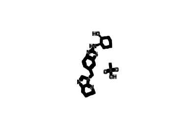 CS(=O)(=O)O.O[C@@H]1CCCC[C@H]1Nc1nc2ccc(Cn3cnc4cccnc43)cc2s1